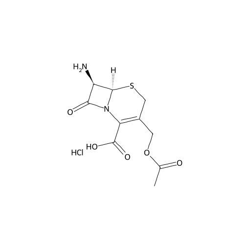 CC(=O)OCC1=C(C(=O)O)N2C(=O)[C@@H](N)[C@H]2SC1.Cl